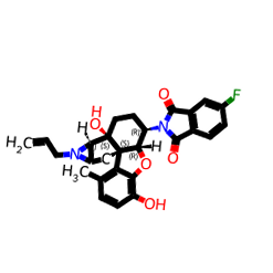 C=CCN1C2C[C@]34c5c(C)ccc(O)c5O[C@H]3[C@H](N3C(=O)c5ccc(F)cc5C3=O)CC[C@@]4(O)[C@@H]21